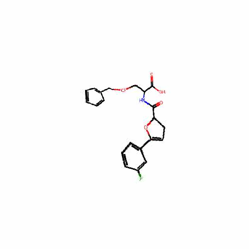 O=C(O)C(COCc1ccccc1)NC(=O)C1CC=C(c2cccc(F)c2)O1